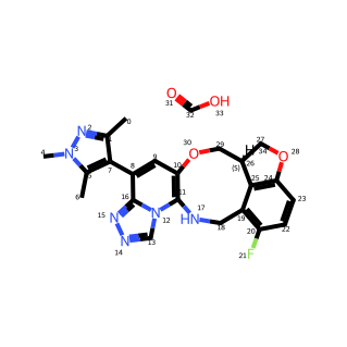 Cc1nn(C)c(C)c1-c1cc2c(n3cnnc13)NCc1c(F)ccc3c1[C@@H](CO3)CO2.O=CO